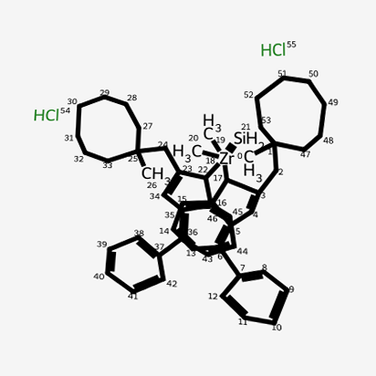 CC1(CC2=Cc3c(-c4ccccc4)cccc3[CH]2[Zr]([CH3])([CH3])(=[SiH2])[CH]2C(CC3(C)CCCCCCC3)=Cc3c(-c4ccccc4)cccc32)CCCCCCC1.Cl.Cl